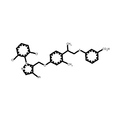 Cc1cc(OCc2c(C(C)C)cnn2-c2c(Cl)cccc2Cl)ccc1C(C)CSc1cccc(C(=O)O)c1